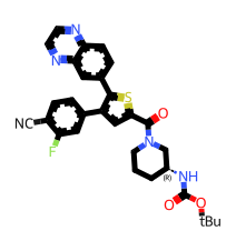 CC(C)(C)OC(=O)N[C@@H]1CCCN(C(=O)c2cc(-c3ccc(C#N)c(F)c3)c(-c3ccc4nccnc4c3)s2)C1